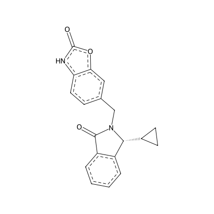 O=C1c2ccccc2[C@@H](C2CC2)N1Cc1ccc2[nH]c(=O)oc2c1